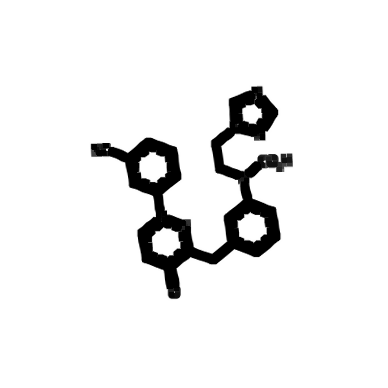 N#Cc1cccc(-n2ccc(=O)c(Cc3cccc(N(CCn4cncn4)C(=O)O)c3)n2)c1